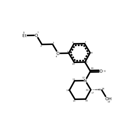 CCOCCOc1cccc(C(=O)N2CCCC[C@H]2CO)c1